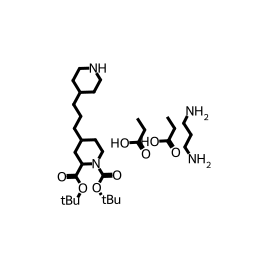 CC(C)(C)OC(=O)C1CC(CCCC2CCNCC2)CCN1C(=O)OC(C)(C)C.CCC(=O)O.CCC(=O)O.NCCCN